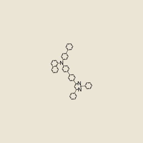 c1ccc(-c2ccc(N(c3ccc(-c4ccc(-c5cc(-c6ccccc6)nc(-c6ccccc6)n5)cc4)cc3)c3cccc4ccccc34)cc2)cc1